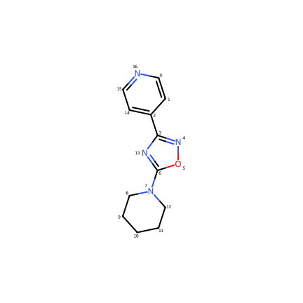 c1cc(-c2noc(N3CCCCC3)n2)ccn1